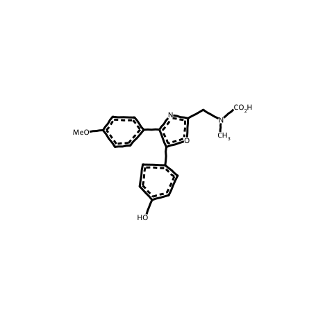 COc1ccc(-c2nc(CN(C)C(=O)O)oc2-c2ccc(O)cc2)cc1